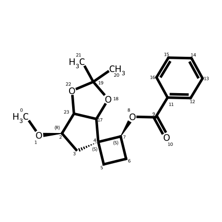 CO[C@@H]1C[C@]2(CC[C@@H]2OC(=O)c2ccccc2)C2OC(C)(C)OC21